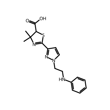 CC1(C)N=C(c2ccn(CCNc3ccccc3)n2)SC1C(=O)O